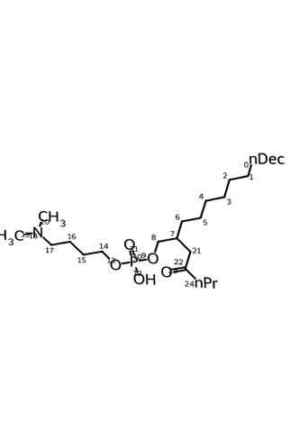 CCCCCCCCCCCCCCCCC(COP(=O)(O)OCCCCN(C)C)CC(=O)CCC